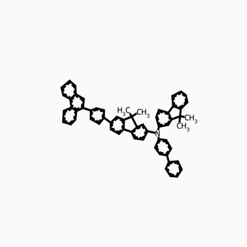 CC1(C)c2ccccc2-c2ccc(N(c3ccc(-c4ccccc4)cc3)c3ccc4c(c3)C(C)(C)c3cc(-c5ccc(-c6cc7ccccc7c7ccccc67)cc5)ccc3-4)cc21